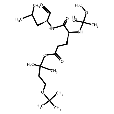 COC(C)(C)N[C@@H](CCC(=O)OC(C)(C)CCOC(C)(C)C)C(=O)N[C@H](C=O)CC(C)C